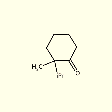 CC(C)C1(C)CCCCC1=O